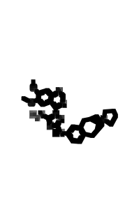 COc1cc2ncnc(-n3nc(Nc4ccc5c(c4)CC4CCC(C5)C4N4CCCC4)nc3N)c2cc1OC